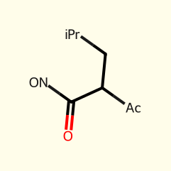 CC(=O)C(CC(C)C)C(=O)N=O